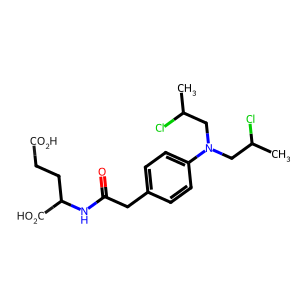 CC(Cl)CN(CC(C)Cl)c1ccc(CC(=O)NC(CCC(=O)O)C(=O)O)cc1